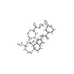 C=CC(=O)N1CCCC[C@@H](n2c(NC(=O)c3cccc(C)c3)nc3ccc4c(c32)C(F)(F)CN(C)CCO4)C1